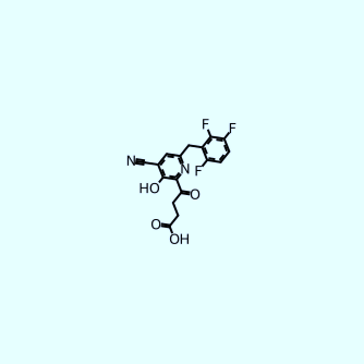 N#Cc1cc(Cc2c(F)ccc(F)c2F)nc(C(=O)CCC(=O)O)c1O